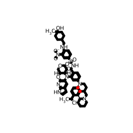 CC(C)c1ccccc1[C@@H]1CCCCN1CC1CCN(c2ccc(C(=O)NS(=O)(=O)c3ccc(NCC4CCC(C)(O)CC4)c([N+](=O)[O-])c3)c(N3c4cc5cc[nH]c5nc4O[C@H]4COCC[C@@H]43)c2)CC1